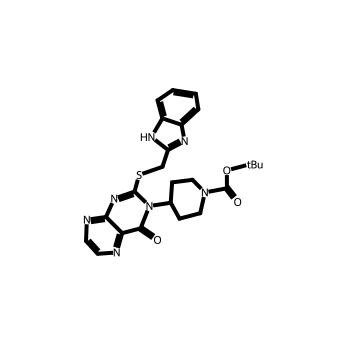 CC(C)(C)OC(=O)N1CCC(n2c(SCc3nc4ccccc4[nH]3)nc3nccnc3c2=O)CC1